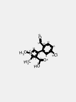 Cc1c(C(=O)O)c(-c2cc(Cl)ccc2C=O)cn1C